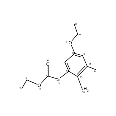 CCOC(=O)Sc1cc(OCC)cc(C)c1N